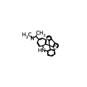 C=NC(C)C1=CC=C2C(C=C1)Nc1ccccc1C21c2ccccc2-c2ccccc21